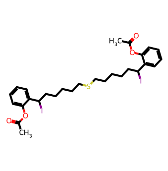 CC(=O)Oc1ccccc1C(I)CCCCCSCCCCCC(I)c1ccccc1OC(C)=O